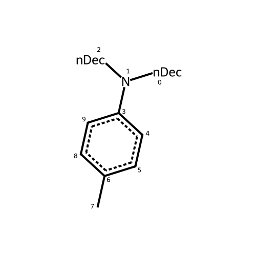 CCCCCCCCCCN(CCCCCCCCCC)c1ccc(C)cc1